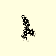 CS(=O)(=O)c1ccc(-c2nc(S(=O)(=O)c3ccc(Cl)cc3)sc2-c2ccc(F)cc2)cc1